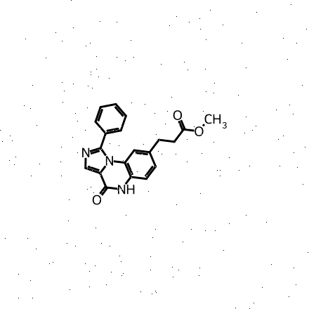 COC(=O)CCc1ccc2[nH]c(=O)c3cnc(-c4ccccc4)n3c2c1